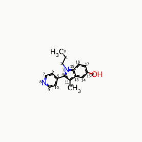 CCCn1c(-c2ccncc2)c(C)c2cc(O)ccc21